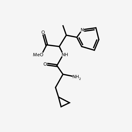 COC(=O)C(NC(=O)C(N)CC1CC1)C(C)c1ccccn1